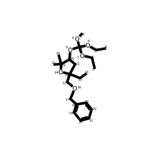 CCOC(OC)(OCC)OC1CC(CC)(COCc2ccccc2)OC1(C)C